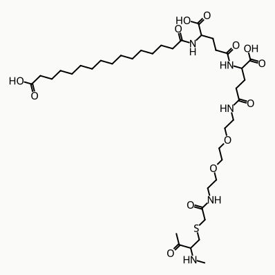 CNC(CSCC(=O)NCCOCCOCCNC(=O)CCC(NC(=O)CCC(NC(=O)CCCCCCCCCCCCCCC(=O)O)C(=O)O)C(=O)O)C(C)=O